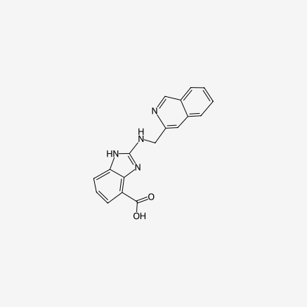 O=C(O)c1cccc2[nH]c(NCc3cc4ccccc4cn3)nc12